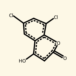 O=c1cc(O)c2cc(Cl)cc(Cl)c2o1